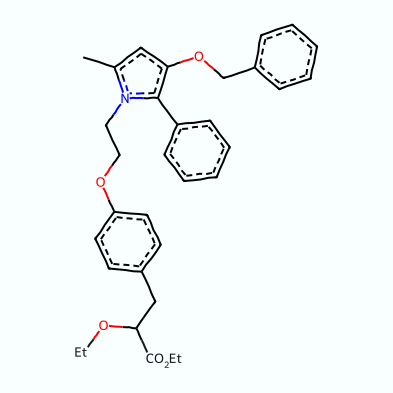 CCOC(=O)C(Cc1ccc(OCCn2c(C)cc(OCc3ccccc3)c2-c2ccccc2)cc1)OCC